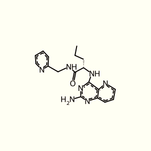 CCC[C@H](Nc1nc(N)nc2cccnc12)C(=O)NCc1ccccn1